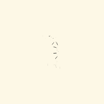 C=NS(=O)(=O)c1ccc(NC(=O)/C=C/CN(C)C)cc1